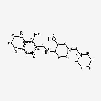 OC1CN(CN2CCCCC2)CCC1NCc1ncc2c(c1F)OCCO2